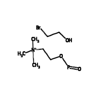 C[N+](C)(C)CCOP=O.OCCBr